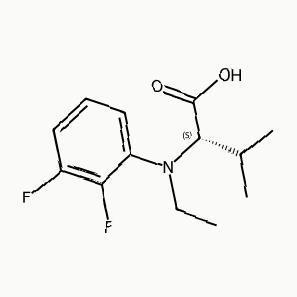 CCN(c1cccc(F)c1F)[C@H](C(=O)O)C(C)C